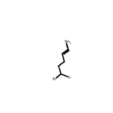 CCC(CC)CCC=CN